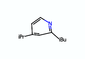 CCC(C)c1cc(C(C)C)ccn1